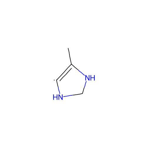 CC1=[C]NCN1